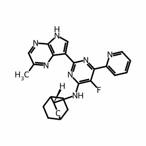 Cc1cnc2[nH]cc(-c3nc(N[C@@H]4CC5CCC4CC5)c(F)c(-c4ccccn4)n3)c2n1